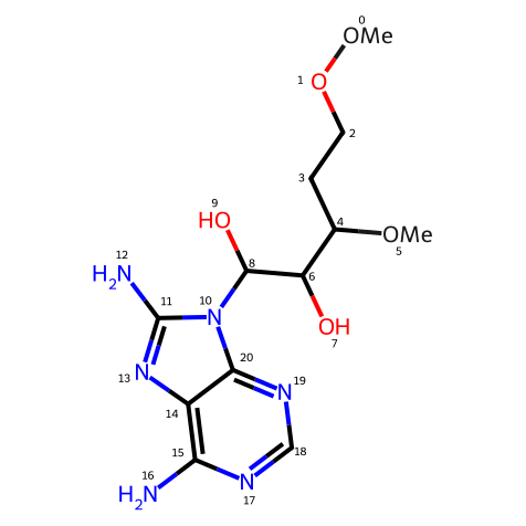 COOCCC(OC)C(O)C(O)n1c(N)nc2c(N)ncnc21